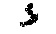 NCc1ccc(-c2ncnc3[nH]c(-c4ccc(C(=O)N5CCOCC5)cc4)cc23)cc1